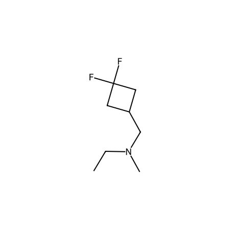 CCN(C)CC1CC(F)(F)C1